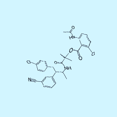 CC(=O)Nc1cccc(Cl)c1C(=O)OC(C)(C)C(=O)NC(C)C(Cc1ccc(Cl)cc1)c1cccc(C#N)c1